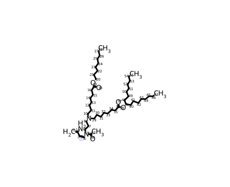 C=C(N)/C=C\N(CCCN(CCCCCCCC(=O)OCCCCCCCCC)CCCCCCCC(=O)OC(CCCCCCCC)CCCCCCCC)C(C)=O